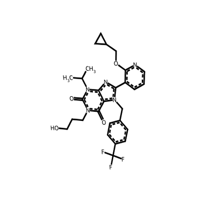 CC(C)n1c(=O)n(CCCO)c(=O)c2c1nc(-c1cccnc1OCC1CC1)n2Cc1ccc(C(F)(F)F)cc1